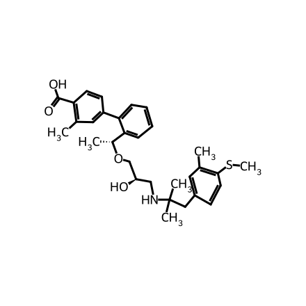 CSc1ccc(CC(C)(C)NC[C@@H](O)CO[C@H](C)c2ccccc2-c2ccc(C(=O)O)c(C)c2)cc1C